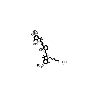 CCC[N+]1=C(/C=C/C2=C(Cl)C(=C/C=C3/N(CCCCCC(=O)O)c4c(C)cc(S(=O)(=O)O)cc4C3(C)C)/CCC2)C(C)(C)c2cc(S(=O)(=O)[O-])cc(C)c21